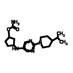 CC(C)C1CCN(c2ncc(NC3CCC(OC(N)=O)C3)cn2)CC1